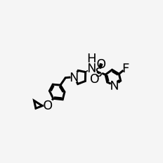 O=S(=O)(N[C@@H]1CCN(Cc2ccc(OC3CC3)cc2)C1)c1cncc(F)c1